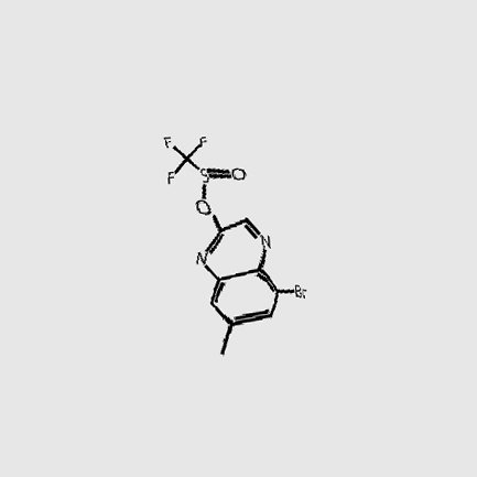 Cc1cc(Br)c2ncc(OS(=O)C(F)(F)F)nc2c1